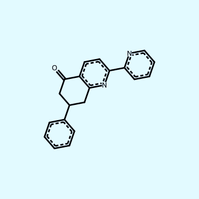 O=C1CC(c2ccccc2)Cc2nc(-c3ccccn3)ccc21